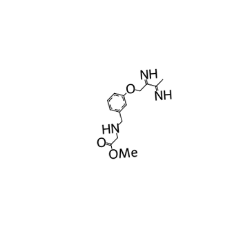 COC(=O)CNCc1cccc(OCC(=N)C(C)=N)c1